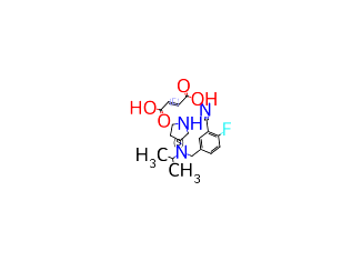 CC(C)N(Cc1ccc(F)c(C#N)c1)[C@H]1CCNC1.O=C(O)/C=C/C(=O)O